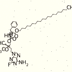 C#C[C@](CCn1cnc2c(N)nc(F)nc21)(CO[PH](=O)N[C@@H](Cc1ccccc1)C(=O)OCCCCCCCCCCCCCCCCCCCC)OC